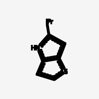 CC(C)c1cc2sccc2[nH]1